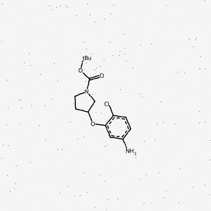 CC(C)(C)OC(=O)N1CCC(Oc2cc(N)ccc2Cl)C1